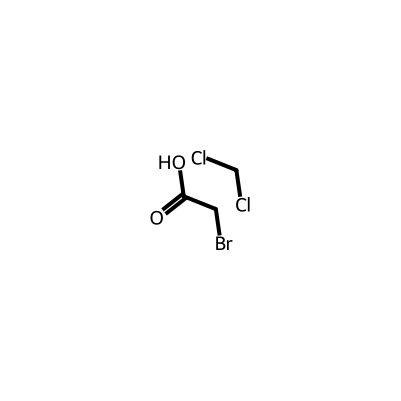 ClCCl.O=C(O)CBr